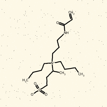 C=CC(=O)NCCC[N+](CCCC)(CCCC)C(C)CCS(=O)(=O)[O-]